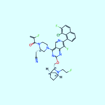 C=C(F)C(=O)N1CCN(c2nc(OC[C@H]3[C@@H]4CC[C@@H](C4)N3CCF)nc3c(F)c(-c4cccc5ccc(F)c(Cl)c45)ncc23)C[C@@H]1CC#N